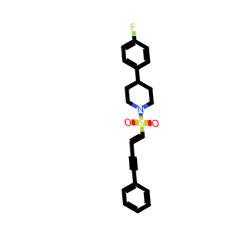 O=S(=O)(/C=C/C#Cc1ccccc1)N1CCC(c2ccc(F)cc2)CC1